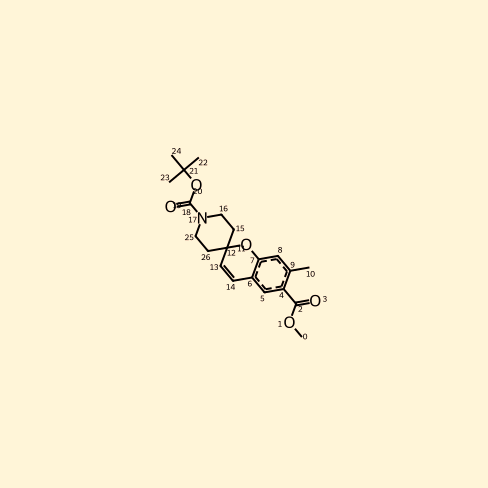 COC(=O)c1cc2c(cc1C)OC1(C=C2)CCN(C(=O)OC(C)(C)C)CC1